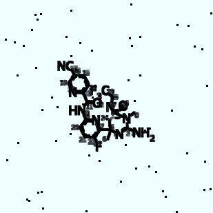 CN1C(N)=NC(C)(c2nc(NC(=O)c3ccc(C#N)cn3)ccc2F)C[S@@]1(=O)=NCC(F)(F)F